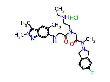 CCNCCN(CC(=O)N(C)N1Cc2ccc(F)cc2C1)C(=O)CNc1cc2nn(C)c(C)c2cc1C.Cl